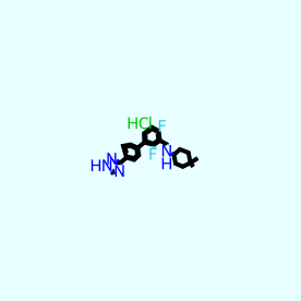 CC1(C)CCC(NCc2c(F)ccc(-c3ccc(-c4nc[nH]n4)cc3)c2F)CC1.Cl